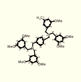 COc1cc(C)cc(CN(Cc2ccc(CN(Cc3cc(OC)cc(OC)c3)Cc3cc(OC)cc(OC)c3)cc2)Cc2cc(OC)cc(OC)c2)c1